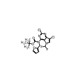 CC(C)(C)OC(=O)N(Cc1ccco1)c1nc(Cl)nc2c(Cl)cn(C(F)F)c12